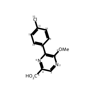 COc1ncc(C(=O)O)nc1-c1ccc(Cl)cc1